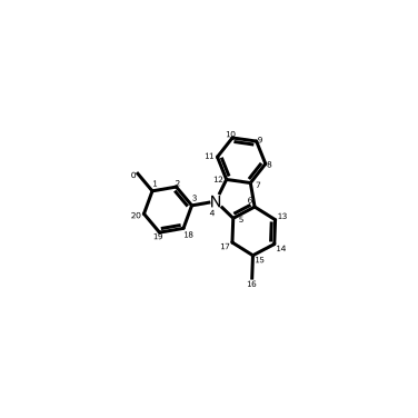 CC1C=C(n2c3c(c4ccccc42)C=CC(C)C3)C=CC1